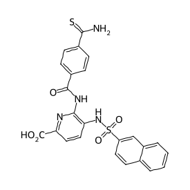 NC(=S)c1ccc(C(=O)Nc2nc(C(=O)O)ccc2NS(=O)(=O)c2ccc3ccccc3c2)cc1